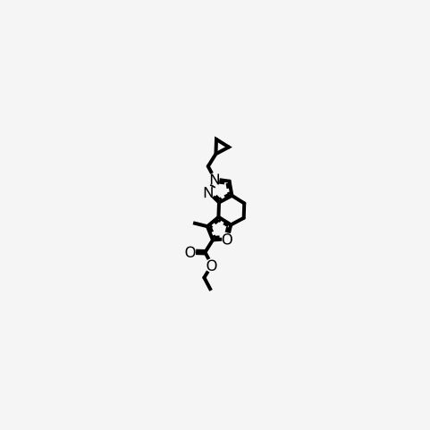 CCOC(=O)c1oc2c(c1C)-c1nn(CC3CC3)cc1CC2